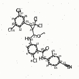 COC(Nc1ccc(Cl)c(C(=O)Nc2ccc(C#N)cc2C)c1)C1C(c2cc(Cl)cc(Cl)c2)C1(Cl)Cl